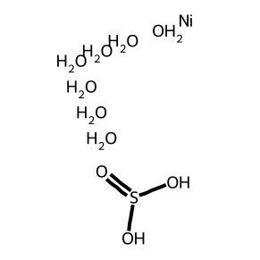 O.O.O.O.O.O.O.O=S(O)O.[Ni]